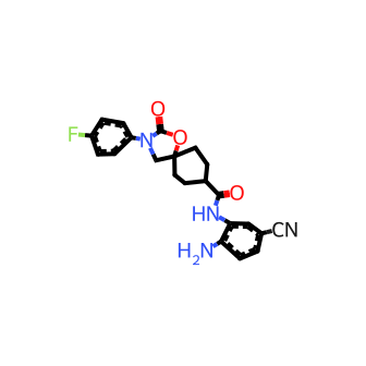 N#Cc1ccc(N)c(NC(=O)C2CCC3(CC2)CN(c2ccc(F)cc2)C(=O)O3)c1